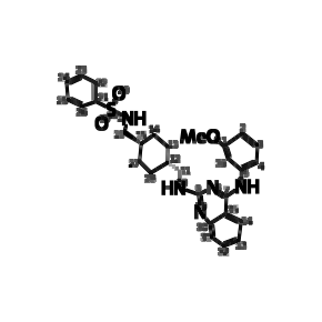 COc1cccc(Nc2nc(NC[C@H]3CC[C@H](CNS(=O)(=O)c4ccccc4)CC3)nc3ccccc23)c1